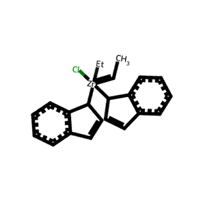 C[CH]=[Zr]([Cl])([CH2]C)([CH]1C=Cc2ccccc21)[CH]1C=Cc2ccccc21